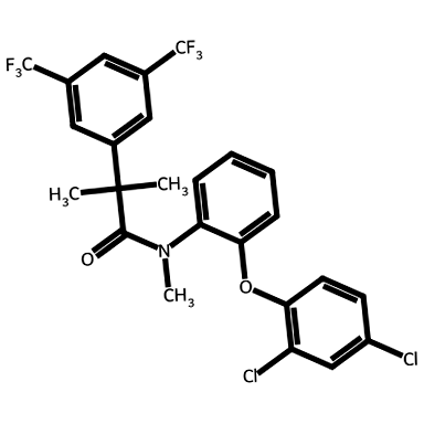 CN(C(=O)C(C)(C)c1cc(C(F)(F)F)cc(C(F)(F)F)c1)c1ccccc1Oc1ccc(Cl)cc1Cl